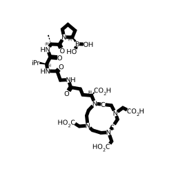 CC(C)[C@H](NC(=O)CNC(=O)CC[C@H](C(=O)O)N1CCN(CC(=O)O)CCN(CC(=O)O)CCN(CC(=O)O)CC1)C(=O)N[C@H](C)C(=O)N1CCC[C@H]1B(O)O